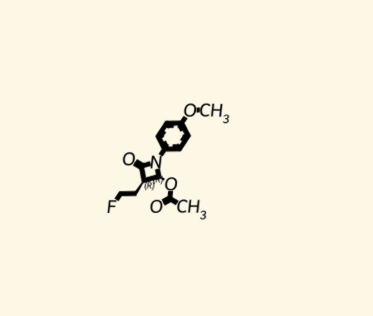 COc1ccc(N2C(=O)[C@H](CCF)[C@H]2OC(C)=O)cc1